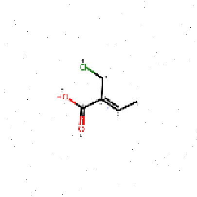 C/C=C(\CCl)C(=O)O